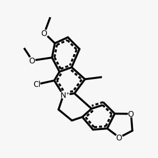 COc1ccc2c(C)c3[n+](c(Cl)c2c1OC)CCc1cc2c(cc1-3)OCO2